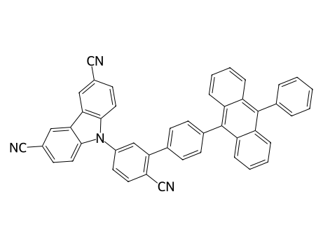 N#Cc1ccc2c(c1)c1cc(C#N)ccc1n2-c1ccc(C#N)c(-c2ccc(-c3c4ccccc4c(-c4ccccc4)c4ccccc34)cc2)c1